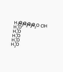 Cl.O.O.O.O.O.O.O.O.O.O